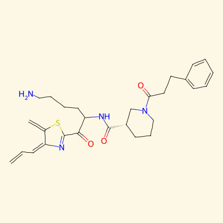 C=C/C=c1/nc(C(=O)C(CCCCN)NC(=O)[C@H]2CCCN(C(=O)CCc3ccccc3)C2)sc1=C